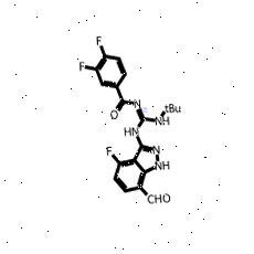 CC(C)(C)N/C(=N/C(=O)c1ccc(F)c(F)c1)Nc1n[nH]c2c(C=O)ccc(F)c12